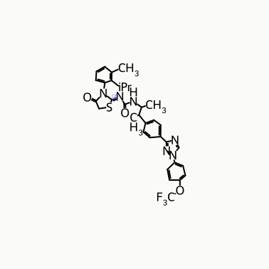 Cc1cccc(N2C(=O)CS/C2=N\C(=O)NC(C)C(C)c2ccc(-c3ncn(-c4ccc(OC(F)(F)F)cc4)n3)cc2)c1C(C)C